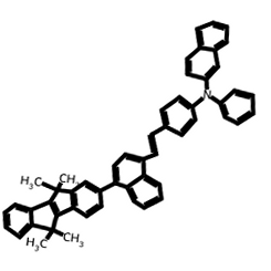 CC1(C)C2=C(c3ccccc31)C(C)(C)c1cc(-c3ccc(/C=C/c4ccc(N(c5ccccc5)c5ccc6ccccc6c5)cc4)c4ccccc34)ccc12